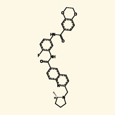 C[C@H]1CCCN1Cc1ccc2cc(C(=O)Nc3cc(NC(=O)c4ccc5c(c4)OCCO5)ccc3F)ccc2n1